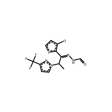 CC(C(=NNC=O)c1sccc1Cl)n1ccc(C(F)(F)F)n1